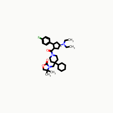 CCN(CC)[C@H]1CC(C(=O)N2CCC(CN3C(=O)OCC3(C)C)(C3CCCCC3)CC2)C(c2ccc(F)cc2)C1